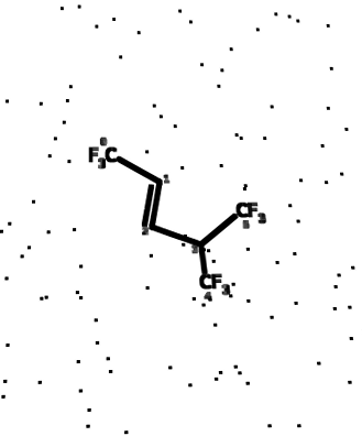 FC(F)(F)C=CC(C(F)(F)F)C(F)(F)F